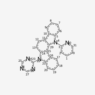 c1ccc(-n2c3ccccc3c3ccc4c(c5ccccc5n4-c4ncncn4)c32)nc1